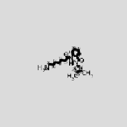 Cc1nc(NC(=O)c2ccccc2NC(=O)CCCCCCN)sc1C